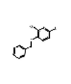 O=Nc1nc(Br)ccc1OCc1ccccc1